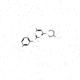 CCCCc1cc(N2CCC(N)C2)nc(Nc2cccc(C#N)c2)n1